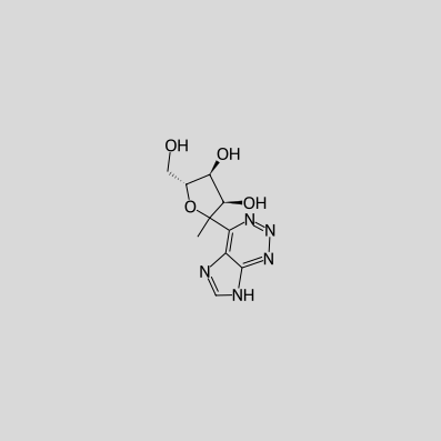 CC1(c2nnnc3[nH]cnc23)O[C@H](CO)[C@@H](O)[C@H]1O